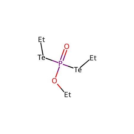 CCOP(=O)([Te]CC)[Te]CC